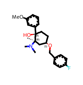 COc1cccc([C@]2(O)CC[C@H](OCc3ccc(F)cc3)C[C@@]2(C)N(C)C)c1